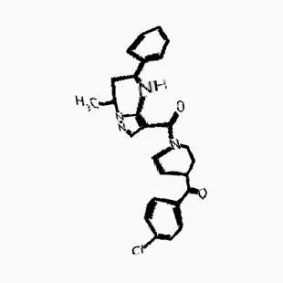 CC1CC(c2ccccc2)Nc2c(C(=O)N3CCC(C(=O)c4ccc(Cl)cc4)CC3)cnn21